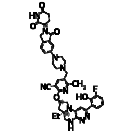 CC[C@@]12CNc3nnc(-c4cccc(F)c4O)cc3N1C[C@H](Oc1nc(C)c(CN3CCN(c4ccc5c(c4)C(=O)N([C@H]4CCC(=O)NC4=O)C5)CC3)cc1C#N)C2